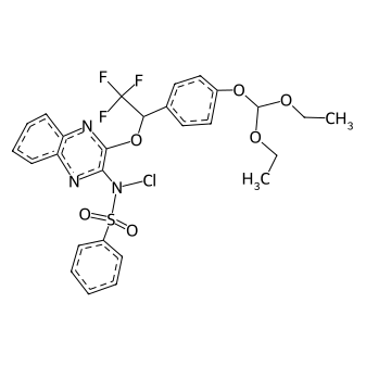 CCOC(OCC)Oc1ccc(C(Oc2nc3ccccc3nc2N(Cl)S(=O)(=O)c2ccccc2)C(F)(F)F)cc1